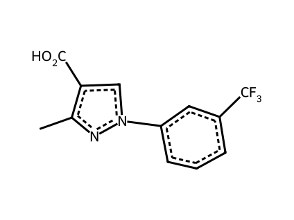 Cc1nn(-c2cccc(C(F)(F)F)c2)cc1C(=O)O